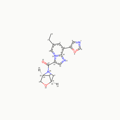 CCc1cc(-c2cnco2)c2ncc(C(=O)N3C[C@@H]4C[C@H]3CO4)n2c1